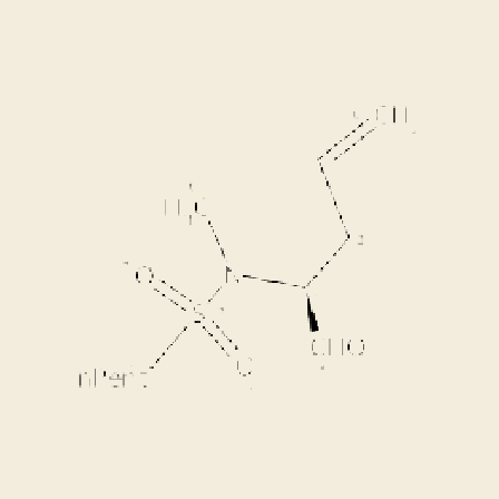 C=CC[C@@H](C=O)N(C)S(=O)(=O)CCCCC